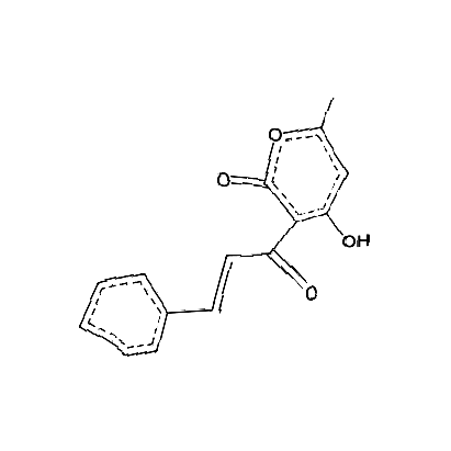 Cc1cc(O)c(C(=O)C=Cc2ccccc2)c(=O)o1